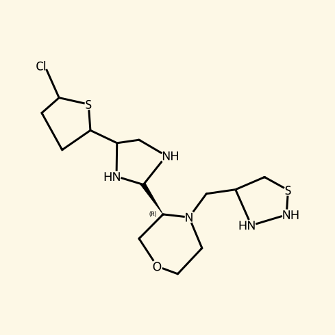 ClC1CCC(C2CNC([C@@H]3COCCN3CC3CSNN3)N2)S1